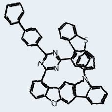 c1ccc(-c2ccc(-c3nc(-c4cccc5oc6cc7c8ccccc8n(-c8ccccc8)c7cc6c45)nc(-c4cccc5sc6ccccc6c45)n3)cc2)cc1